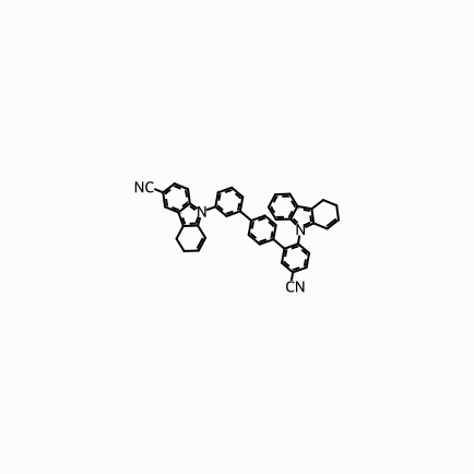 N#Cc1ccc(-n2c3c(c4ccccc42)CCC=C3)c(-c2ccc(-c3cccc(-n4c5c(c6cc(C#N)ccc64)CCC=C5)c3)cc2)c1